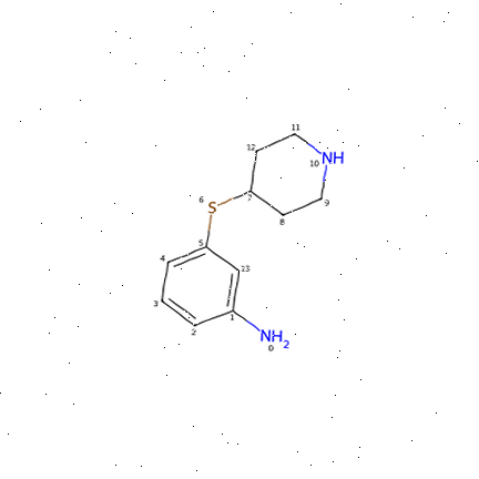 Nc1cccc(SC2CCNCC2)c1